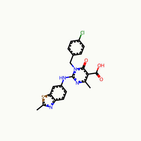 Cc1nc2ccc(Nc3nc(C)c(C(=O)O)c(=O)n3Cc3ccc(Cl)cc3)cc2s1